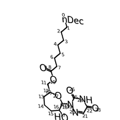 CCCCCCCCCCCCCCCCCC(=O)OC[C@@H]1CCCC(O)[C@H](n2ncc(=O)[nH]c2=O)O1